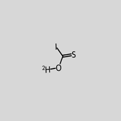 [2H]OC(=S)I